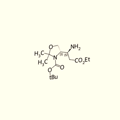 CCOC(=O)C[C@H](N)[C@H]1COC(C)(C)N1C(=O)OC(C)(C)C